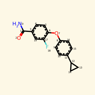 NC(=O)c1ccc(Oc2ccc(C3CC3)cc2)c(F)c1